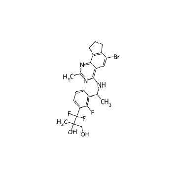 Cc1nc(NC(C)c2cccc(C(F)(F)C(C)(O)CO)c2F)c2cc(Br)c3c(c2n1)CCC3